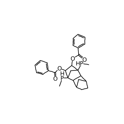 CPC12CC(PC)(C(OC(=O)c3ccccc3)C1OC(=O)c1ccccc1)C1C3CCC(C3)C12